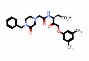 O=C(O)C[C@H](NC(=O)CN1CCN(Cc2ccccc2)C(=O)C1)C(=O)COc1cc(C(F)(F)F)cc(C(F)(F)F)c1